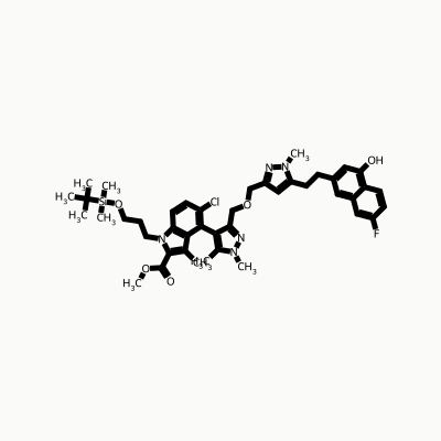 COC(=O)c1c(C)c2c(-c3c(COCc4cc(CCc5cc(O)c6ccc(F)cc6c5)n(C)n4)nn(C)c3C)c(Cl)ccc2n1CCCO[Si](C)(C)C(C)(C)C